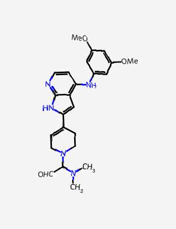 COc1cc(Nc2ccnc3[nH]c(C4=CCN(C(C=O)N(C)C)CC4)cc23)cc(OC)c1